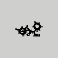 CCCCN(C(=O)O[C@H]1C[N+]2(C)CCC1CC2)c1ccccc1